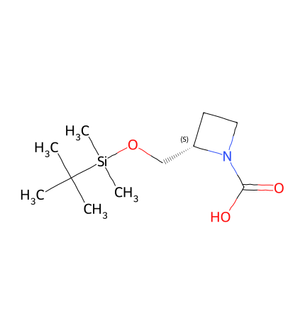 CC(C)(C)[Si](C)(C)OC[C@@H]1CCN1C(=O)O